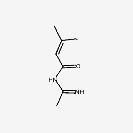 CC(=N)NC(=O)C=C(C)C